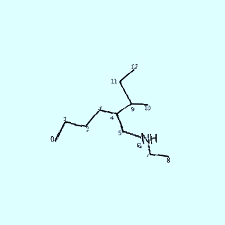 CCCCC(CNCC)C(C)CC